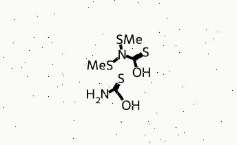 CSN(SC)C(O)=S.NC(O)=S